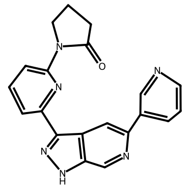 O=C1CCCN1c1cccc(-c2n[nH]c3cnc(-c4cccnc4)cc23)n1